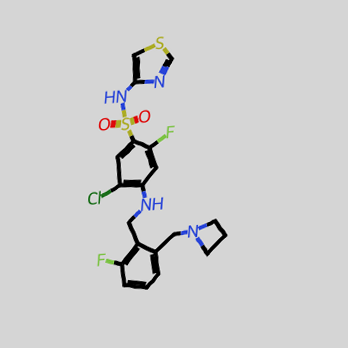 O=S(=O)(Nc1cscn1)c1cc(Cl)c(NCc2c(F)cccc2CN2CCC2)cc1F